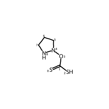 S=C(S)ON1CCCN1